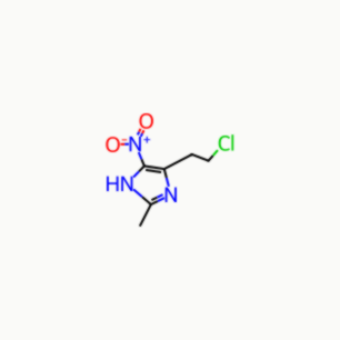 Cc1nc(CCCl)c([N+](=O)[O-])[nH]1